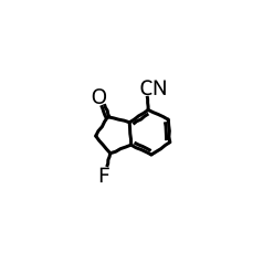 N#Cc1cccc2c1C(=O)CC2F